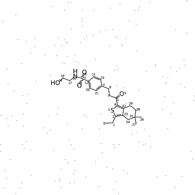 CCc1sc(C(=O)CCc2ccc(S(=O)(=O)NCCO)cc2)c2c1CC(C)(C)CC2